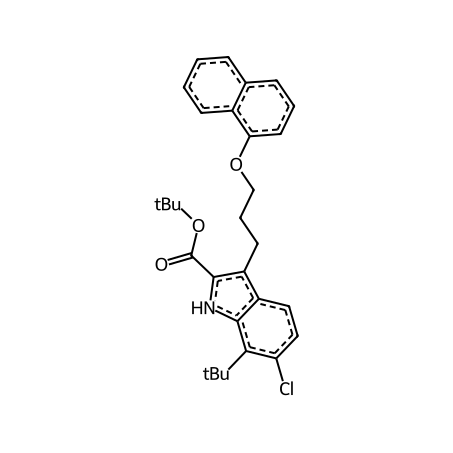 CC(C)(C)OC(=O)c1[nH]c2c(C(C)(C)C)c(Cl)ccc2c1CCCOc1cccc2ccccc12